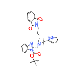 CC(C)(C)OC(=O)n1c(CN(CCCCN2C(=O)c3ccccc3C2=O)C(C)(C)c2ccccn2)nc2ccccc21